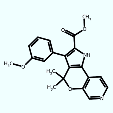 COC(=O)c1[nH]c2c(c1-c1cccc(OC)c1)C(C)(C)Oc1cnccc1-2